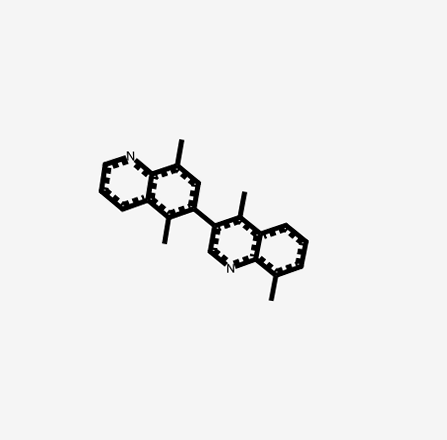 Cc1c(-c2cc(C)c3ncccc3c2C)cnc2c(C)cccc12